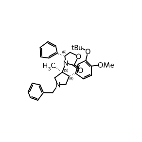 COc1ccc([C@@H]2CN(Cc3ccccc3)C[C@@]2(C)N2C(=O)OC[C@H]2c2ccccc2)cc1OC(C)(C)C